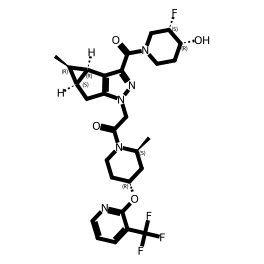 C[C@@H]1[C@@H]2Cc3c(c(C(=O)N4CC[C@@H](O)[C@@H](F)C4)nn3CC(=O)N3CC[C@@H](Oc4ncccc4C(F)(F)F)C[C@@H]3C)[C@H]12